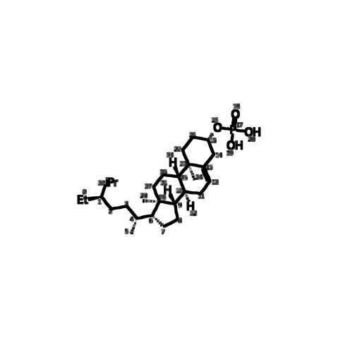 CC[C@H](CC[C@@H](C)[C@H]1CC[C@H]2[C@@H]3CC=C4C[C@@H](OP(=O)(O)O)CC[C@]4(C)[C@H]3CC[C@]12C)C(C)C